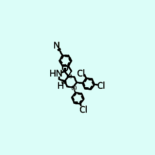 N#Cc1ccc(C[C@@]23CC(c4ccc(Cl)cc4Cl)[C@@H](c4ccc(Cl)cc4)C[C@@H]2CNC3=O)cc1